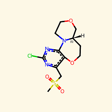 CS(=O)(=O)Cc1nc(Cl)nc2c1OCC[C@H]1COCCN21